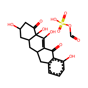 O=C1C2=C(O)C3(O)C(=O)CC(O)CC3CC2Cc2cccc(O)c21.O=COS(=O)(=O)O